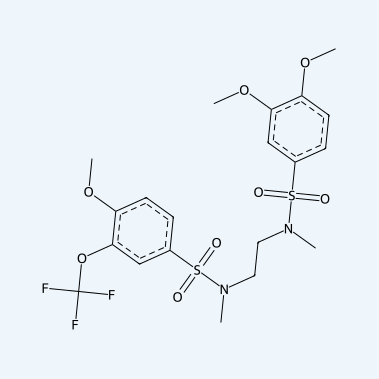 COc1ccc(S(=O)(=O)N(C)CCN(C)S(=O)(=O)c2ccc(OC)c(OC(F)(F)F)c2)cc1OC